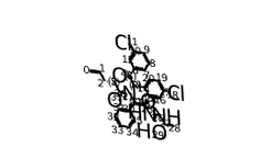 C=CC[C@@H]1O[C@@H](c2cccc(Cl)c2)[C@@H](c2ccc(Cl)cc2)N([C@H](C(=O)NNC(C)O)c2ccccc2)C1=O